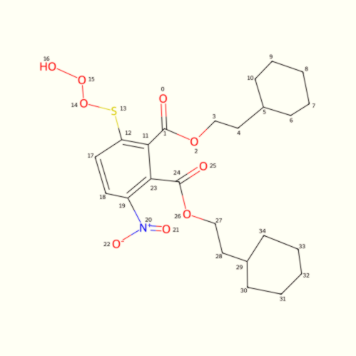 O=C(OCCC1CCCCC1)c1c(SOOO)ccc([N+](=O)[O-])c1C(=O)OCCC1CCCCC1